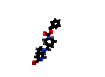 O=C(OCc1ccccc1)N1CCCC(Cn2ccc3cc(Br)ncc32)CC1